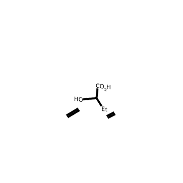 C=C.C=C.[CH2]CC(O)C(=O)O